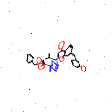 COc1cccc(Cc2ccc3c(=O)cc(C(C(C)C)N4CCN=C4C4=COC(Cc5ccccc5)O4)oc3c2)c1